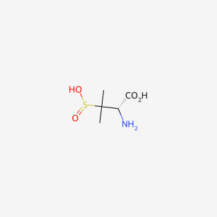 CC(C)([C@@H](N)C(=O)O)S(=O)O